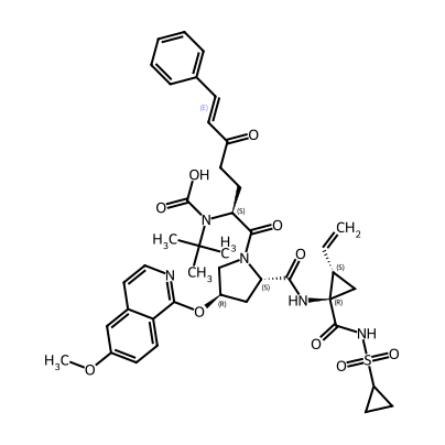 C=C[C@@H]1C[C@]1(NC(=O)[C@@H]1C[C@@H](Oc2nccc3cc(OC)ccc23)CN1C(=O)[C@H](CCC(=O)/C=C/c1ccccc1)N(C(=O)O)C(C)(C)C)C(=O)NS(=O)(=O)C1CC1